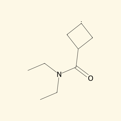 CCN(CC)C(=O)C1C[CH]C1